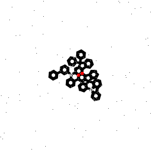 c1ccc(-c2cccc(N(c3ccc4c(c3)C(c3ccccc3)(c3ccccc3)c3ccccc3-4)c3ccccc3-c3ccc4c(c3)C3(c5ccccc5-4)c4ccccc4-n4c5ccccc5c5cccc3c54)c2)cc1